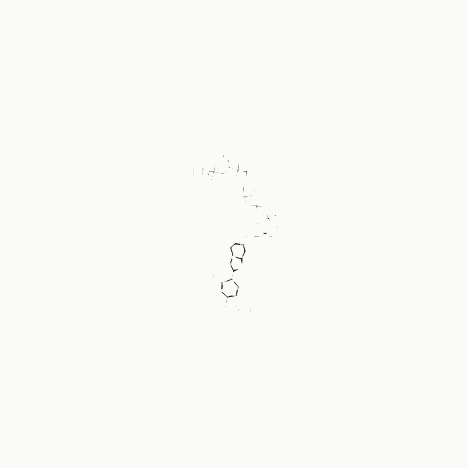 CCCCCc1ccc(-c2cc3ccc(OCC(F)(F)OC(F)(F)OC(F)(F)OC(F)(F)COC(=O)C(C)(C)C(N)CC(C)(C)N)cc3s2)c(C(F)(F)F)c1